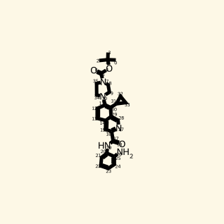 CC(C)(C)OC(=O)N1CCN(c2ccc3cc(C(=O)Nc4ccccc4N)ncc3c2C2CC2)CC1